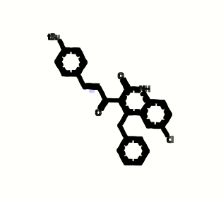 CC(C)(C)c1ccc(/C=C/C(=O)c2c(Cc3ccccc3)c3cc(Cl)ccc3[nH]c2=O)cc1